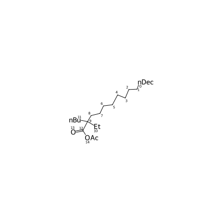 CCCCCCCCCCCCCCCCCCC(CC)(CCCC)C(=O)OC(C)=O